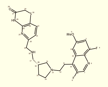 COc1cc(F)c2ncc(F)c(CCN3CC[C@H](CNCc4ccc5c(n4)NC(=O)CS5)C3)c2c1